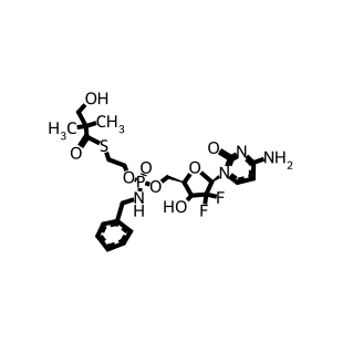 CC(C)(CO)C(=O)SCCOP(=O)(NCc1ccccc1)OC[C@H]1O[C@@H](n2ccc(N)nc2=O)C(F)(F)C1O